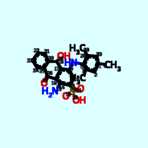 Cc1cc(C)c(Nc2cc(S(=O)(=O)O)c(N)c3c2C(O)c2ccccc2C3=O)c(C)c1